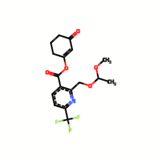 COC(C)OCc1nc(C(F)(F)F)ccc1C(=O)OC1=CC(=O)CCC1